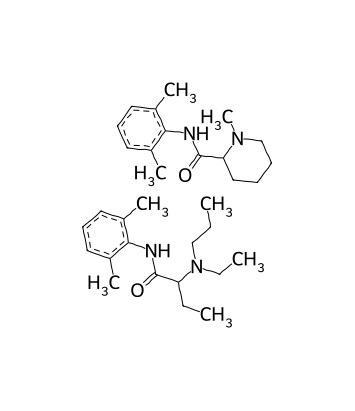 CCCN(CC)C(CC)C(=O)Nc1c(C)cccc1C.Cc1cccc(C)c1NC(=O)C1CCCCN1C